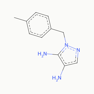 Cc1ccc(Cn2ncc(N)c2N)cc1